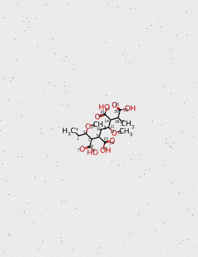 CCC(OC)C(C(=O)O)C(CC(OC)C(C(=O)O)C(C)C(=O)O)C(=O)O